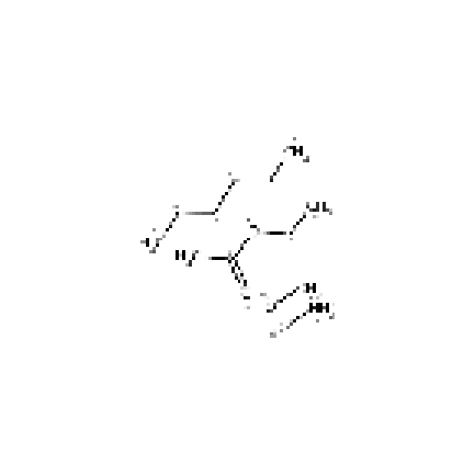 CCCCCC.CCOC(C)=O.CO.[NH3+][O-]